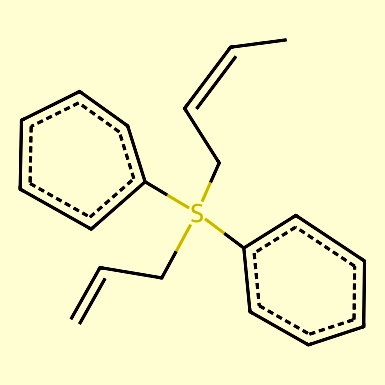 C=CCS(C/C=C\C)(c1ccccc1)c1ccccc1